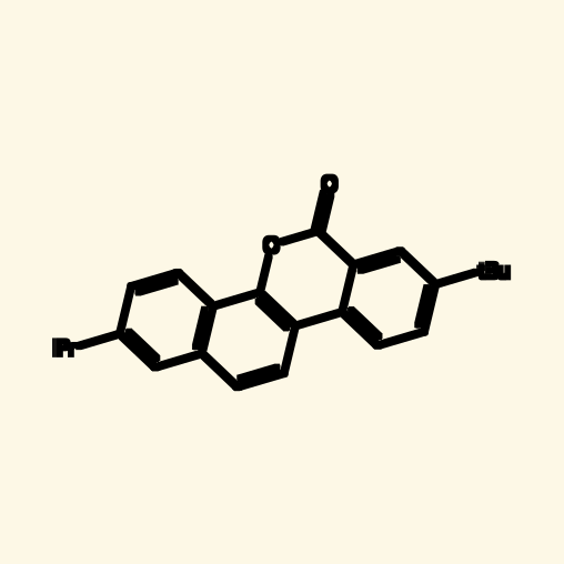 CC(C)c1ccc2c(ccc3c4ccc(C(C)(C)C)cc4c(=O)oc23)c1